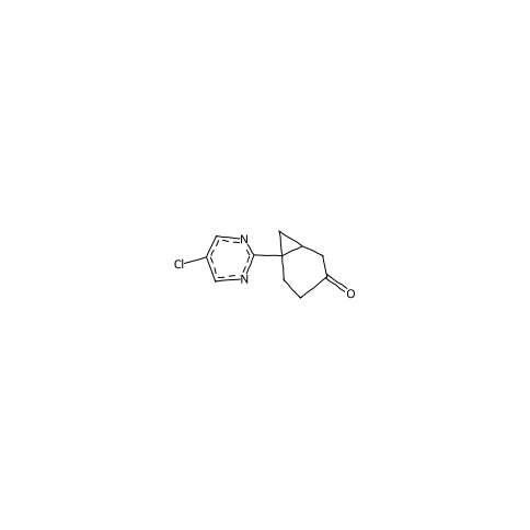 O=C1CCC2(c3ncc(Cl)cn3)CC2C1